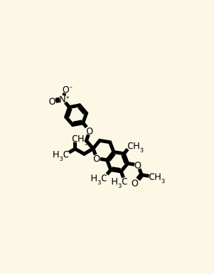 CC(=O)Oc1c(C)c(C)c2c(c1C)CCC(COc1ccc([N+](=O)[O-])cc1)(CC(C)C)O2